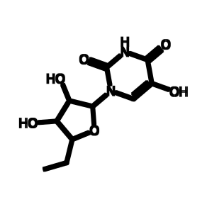 CCC1OC(n2cc(O)c(=O)[nH]c2=O)C(O)C1O